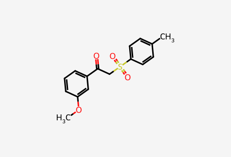 COc1cccc(C(=O)CS(=O)(=O)c2ccc(C)cc2)c1